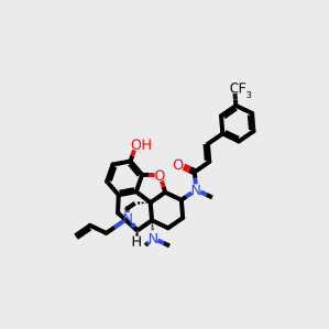 C=CCN1CC[C@]23c4c5ccc(O)c4OC2C(N(C)C(=O)/C=C/c2cccc(C(F)(F)F)c2)CC[C@@]3(N(C)C)[C@H]1C5